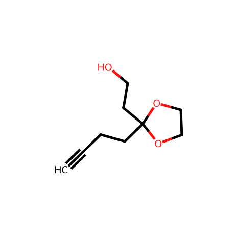 C#CCCC1(CCO)OCCO1